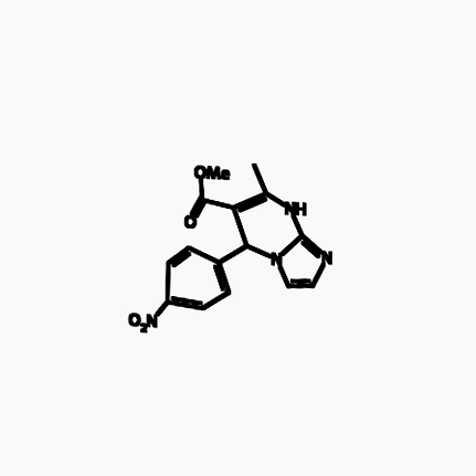 COC(=O)C1=C(C)Nc2nccn2C1c1ccc([N+](=O)[O-])cc1